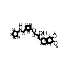 COc1cc2c(cc1OC)CN(CC(O)COc1cccc(CNC3CCCC3)c1)CC2